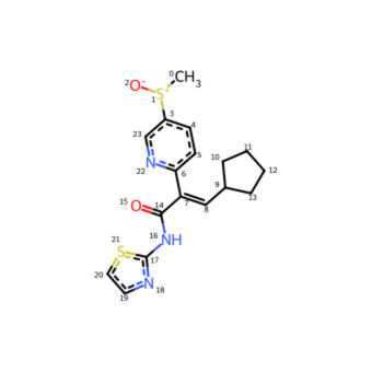 C[S+]([O-])c1ccc(/C(=C\C2CCCC2)C(=O)Nc2nccs2)nc1